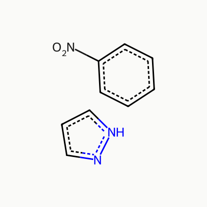 O=[N+]([O-])c1ccccc1.c1cn[nH]c1